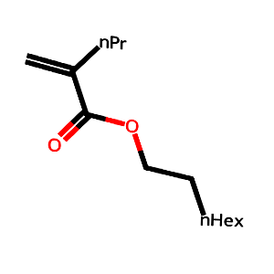 C=C(CCC)C(=O)OCCCCCCCC